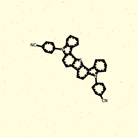 N#Cc1ccc(-n2c3ccccc3c3c4sc5c(ccc6c5c5ccccc5n6-c5ccc(C#N)cc5)c4ccc32)cc1